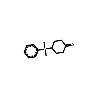 C[Si](C)(c1ccccc1)C1CCC(=O)CC1